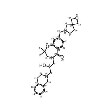 CC1(C)CN(CC(O)CN2CCc3ccccc3C2)C(=O)c2ccc(CN3CCC4(COC4)C3)cc2O1